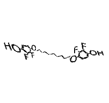 Oc1ccc(OCCCCCCCCCCOc2ccc(O)c(F)c2F)c(F)c1F